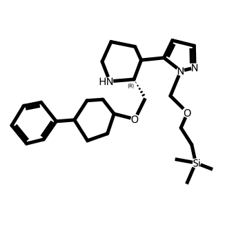 C[Si](C)(C)CCOCn1nccc1C1CCCN[C@H]1COC1CCC(c2ccccc2)CC1